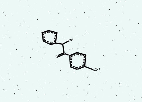 CCCCCCCCc1ccc(C(=O)C(O)c2ccccc2)cc1